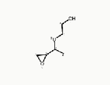 CC(OCCO)C1CO1